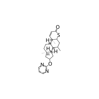 CC1CC2SC(=O)C=C[C@]2(C)[C@@H]2CC[C@]3(C)CC(Oc4ncccn4)C[C@H]3[C@H]12